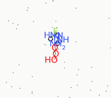 Nc1cccc(Nc2nc(Nc3ccc(OCCOCCO)cc3)ncc2F)c1